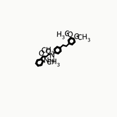 COc1ccc(CCc2ccc(NC(=O)c3c(OC)c4ccccc4n3C)cc2)cc1OC